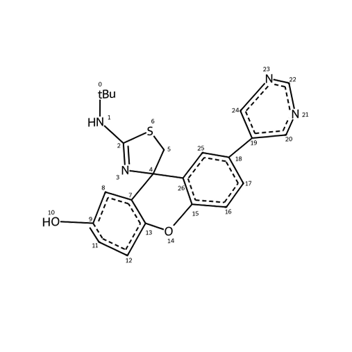 CC(C)(C)NC1=NC2(CS1)c1cc(O)ccc1Oc1ccc(-c3cncnc3)cc12